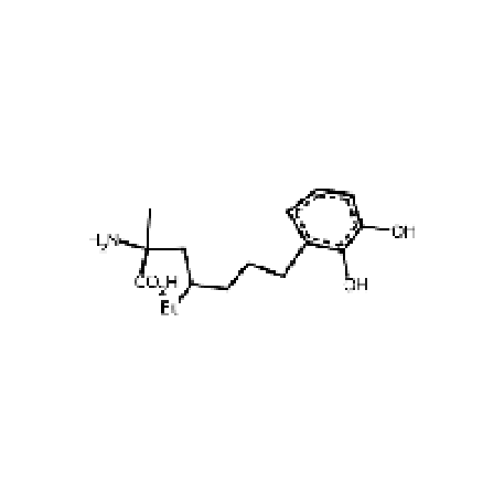 CCC(CCCc1cccc(O)c1O)CC(C)(N)C(=O)O